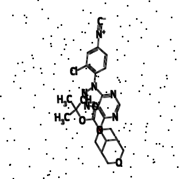 [C-]#[N+]c1ccc(-n2nnc3c(OC4C5COCC4CN(C(=O)OC(C)(C)C)C5)ncnc32)c(Cl)c1